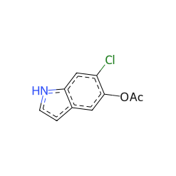 CC(=O)Oc1cc2cc[nH]c2cc1Cl